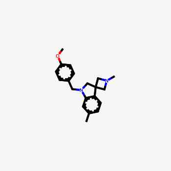 COc1ccc(CN2CC3(CN(C)C3)c3ccc(C)cc32)cc1